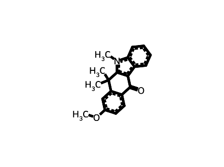 COc1ccc2c(c1)C(C)(C)c1c(c3ccccc3n1C)C2=O